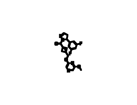 COc1cncc(OCC23CC(C(=O)N4N=CCC4c4cc(F)cc(F)c4)(C2)C3)n1